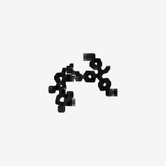 CCC(=C(c1ccc(O)cc1)c1ccc(OCCN(C)Cc2ccc3c(c2Br)CN(C2CCC(=O)NC2=O)C3=O)cc1)c1ccc(O)cc1